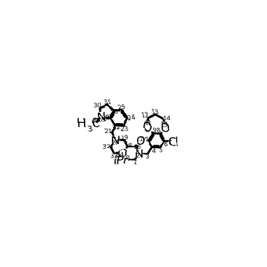 CC(C)CN(Cc1cc(Cl)c2c(c1)OCCCO2)C(=O)C1CN(Cc2cccc3c2N(C)CC3)CCO1